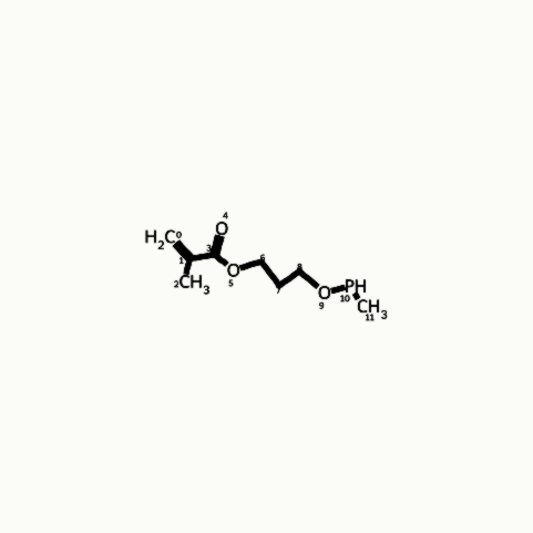 C=C(C)C(=O)OCCCOPC